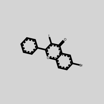 O=c1c(I)c(-c2ccccc2)oc2ccc(Br)cc12